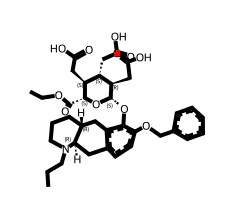 CCCN1CCC[C@@H]2Cc3c(ccc(OCc4ccccc4)c3O[C@@H]3O[C@H](C(=O)OCC)[C@@H](CC(=O)O)[C@H](CC(=O)O)[C@H]3CC(=O)O)C[C@H]21